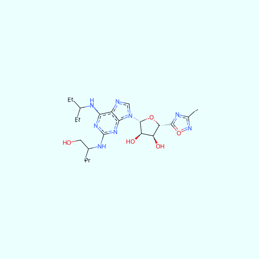 CCC(CC)Nc1nc(NC(CO)C(C)C)nc2c1ncn2[C@@H]1O[C@H](c2nc(C)no2)[C@@H](O)[C@H]1O